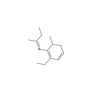 CCC1=C(/N=C(/C)CC)C(C)CC=C1